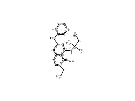 CCn1ccc2cc(Nc3cnccn3)nc(NC(C)(C)CO)c2c1=O